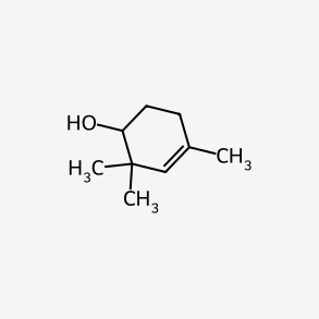 CC1=CC(C)(C)C(O)CC1